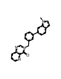 Cn1ccc2ccc(-c3cccc(Cn4cnc5cccnc5c4=O)c3)cc21